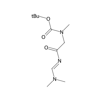 CN(C)/C=N/C(=O)CN(C)C(=O)OC(C)(C)C